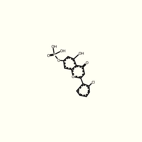 O=c1cc(-c2ccccc2Cl)oc2cc(OP(=O)(O)O)cc(O)c12